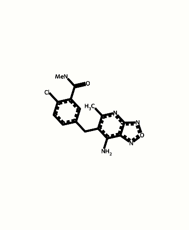 CNC(=O)c1cc(Cc2c(C)nc3nonc3c2N)ccc1Cl